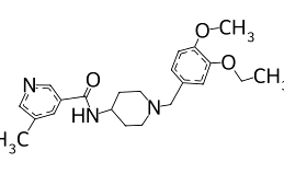 CCOc1cc(CN2CCC(NC(=O)c3cncc(C)c3)CC2)ccc1OC